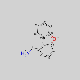 NCc1cccc2oc3ccccc3c12